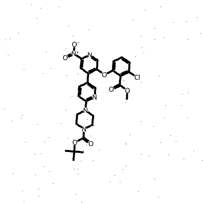 COC(=O)c1c(Cl)cccc1Oc1cnc([N+](=O)[O-])cc1-c1ccc(N2CCN(C(=O)OC(C)(C)C)CC2)nc1